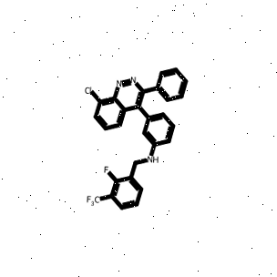 Fc1c(CNc2cccc(-c3c(-c4ccccc4)nnc4c(Cl)cccc34)c2)cccc1C(F)(F)F